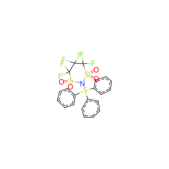 O=S1(=O)N(S(c2ccccc2)(c2ccccc2)c2ccccc2)S(=O)(=O)C(F)(F)C(F)(F)C1(F)F